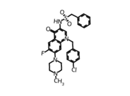 CN1CCN(c2cc3c(cc2F)c(=O)c(NS(=O)(=O)Cc2ccccc2)cn3Cc2ccc(Cl)cc2)CC1